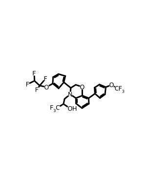 OC(CN1c2cccc(-c3ccc(OC(F)(F)F)cc3)c2OCC1c1cccc(OC(F)(F)C(F)F)c1)C(F)(F)F